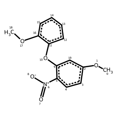 COc1ccc([N+](=O)[O-])c(Oc2ccccc2OC)c1